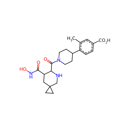 Cc1cc(C(=O)O)ccc1C1CCN(C(=O)C2NCC3(CC3)CC2C(=O)NO)CC1